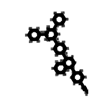 N#Cc1ccc(-c2ccc(-c3ccc(-c4cc(-c5ccccc5)nc(-c5ccccc5)n4)cc3)c3ccccc23)cc1